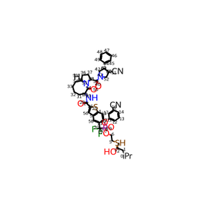 CC(C)CC(O)=[SH]CCOP(=O)(Oc1cccc(C#N)c1)C(F)(F)c1ccc2sc(C(=O)N[C@H]3CCCC[C@H]4CC[C@@H](C(=O)N5C[C@H](c6ccccc6)[C@@H](C#N)C5)N4C3=O)cc2c1